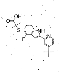 CC(C)(Sc1ccc2[nH]c(-c3cc(C(C)(C)C)ccn3)cc2c1F)C(=O)O